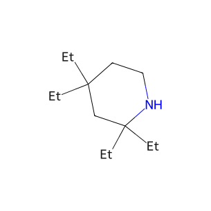 CCC1(CC)CCNC(CC)(CC)C1